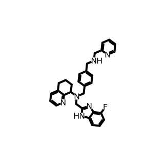 Fc1cccc2[nH]c(CN(Cc3ccc(CNCc4ccccn4)cc3)C3CCCc4cccnc43)nc12